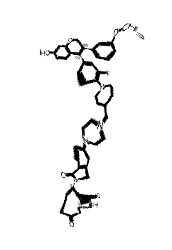 COc1cccc([C@@H]2COc3cc(O)ccc3[C@@H]2c2ccc(N3CCC(CN4CCN(c5ccc6c(c5)CN([C@H]5CCC(=O)NC5=O)C6=O)CC4)CC3)c(F)c2)c1